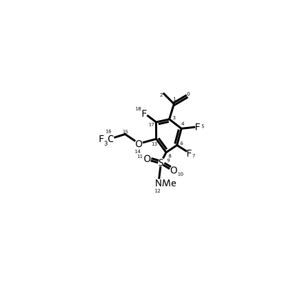 C=C(C)c1c(F)c(F)c(S(=O)(=O)NC)c(OCC(F)(F)F)c1F